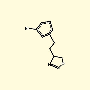 Brc1cccc(CCC2CO[C]=N2)c1